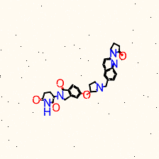 O=C1CCC(N2Cc3cc(O[C@H]4CCN(Cc5ccc6nc(N7CCCC7=O)ccc6c5)C4)ccc3C2=O)C(=O)N1